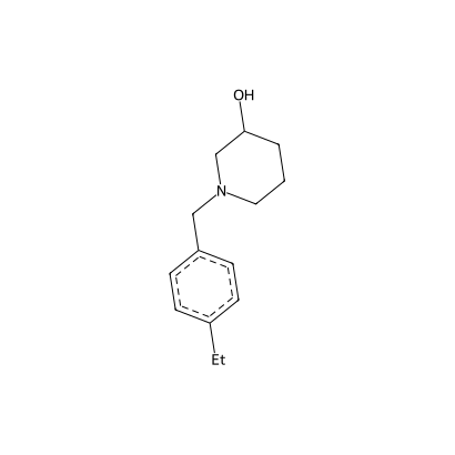 CCc1ccc(CN2CCCC(O)C2)cc1